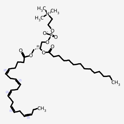 CC/C=C\C/C=C\C/C=C\C/C=C\C/C=C\CCCC(=O)OC[C@H](COP(=O)([O-])OCC[N+](C)(C)C)OC(=O)CCCCCCCCCCCCC